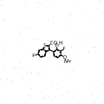 CCCOc1ccc(-c2c(C(=O)O)sc3cc(F)ccc23)c(F)c1F